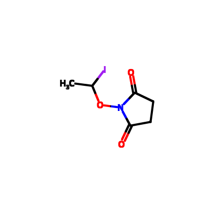 CC(I)ON1C(=O)CCC1=O